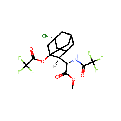 COC(=O)[C@@H](NC(=O)C(F)(F)F)[C@@H]1C2CC3C[C@@](Cl)(C2)C[C@]1(OC(=O)C(F)(F)F)C3